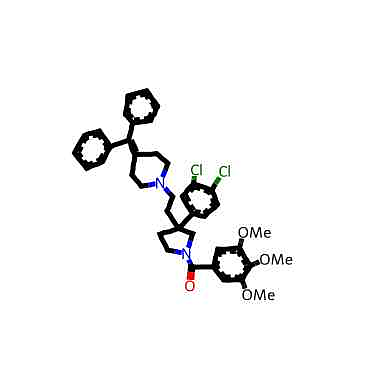 COc1cc(C(=O)N2CCC(CCN3CCC(=C(c4ccccc4)c4ccccc4)CC3)(c3ccc(Cl)c(Cl)c3)C2)cc(OC)c1OC